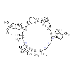 CO[C@H]1[C@@H](O)[C@H](C)C[C@H](C)/C=C/C=C/C=C(\C)[C@@H](c2c[nH]c3c(C)cccc23)C[C@@H]2CC[C@@H](C)[C@@](O)(O2)C(=O)C(=O)N2CCCCC2C(=O)O[C@H]([C@H](C)CC2CC[C@@H](O)[C@H](OC)C2)C[C@H](O)[C@H](C)/C=C(\C)[C@H]1O